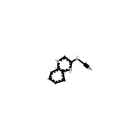 N#CSc1cnc2ccccc2n1